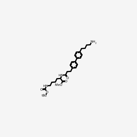 COC(=O)C(CCCCNC(=O)OC(C)(C)C)NC(=O)CCc1ccc(-c2ccc(CCCCN)cc2)cc1